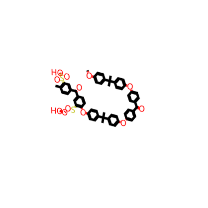 COc1ccc(C(C)(C)c2ccc(Oc3ccc(C(=O)c4ccc(Oc5ccc(C(C)(C)c6ccc(Oc7ccc(C(=O)c8ccc(C)c(S(=O)(=O)O)c8)cc7SOOO)cc6)cc5)cc4)cc3)cc2)cc1